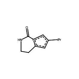 CC(C)c1cc2n(c1)C(=O)NCC2